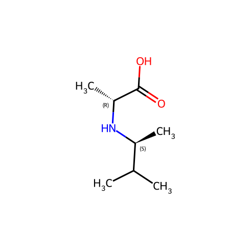 CC(C)[C@H](C)N[C@H](C)C(=O)O